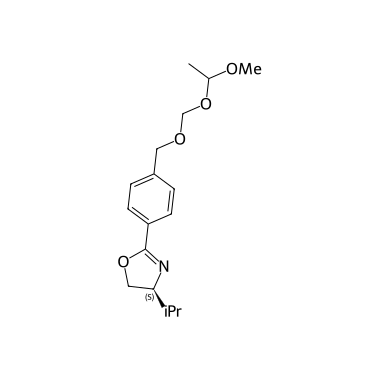 COC(C)OCOCc1ccc(C2=N[C@@H](C(C)C)CO2)cc1